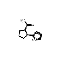 CC(=O)N1CCCC1c1ccc[nH]1